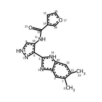 Cc1cc2nc(-c3n[nH]cc3NC(=O)c3ccoc3)[nH]c2cc1C